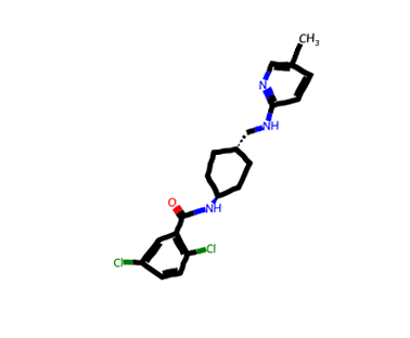 Cc1ccc(NC[C@H]2CC[C@H](NC(=O)c3cc(Cl)ccc3Cl)CC2)nc1